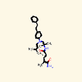 CC(C)CCN(CC(C)(C)NC(=O)[CH]CC(C)C(N)=O)c1ccc(CCc2ccccc2)cc1